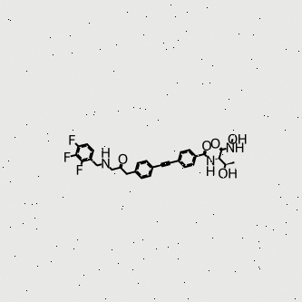 C[C@@H](O)[C@H](NC(=O)c1ccc(C#Cc2ccc(CC(=O)CNCc3ccc(F)c(F)c3F)cc2)cc1)C(=O)NO